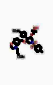 COCCCN1CCOc2ccc(CO[C@H]3CN(S(=O)(=O)c4ccc(C)cc4)C[C@@H](OCC(C)(C)O)[C@@H]3c3ccc(OC)cc3)cc21